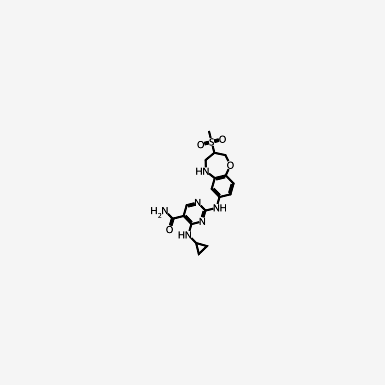 CS(=O)(=O)C1CNc2cc(Nc3ncc(C(N)=O)c(NC4CC4)n3)ccc2OC1